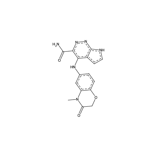 CN1C(=O)COc2ccc(Nc3c(C(N)=O)nnc4[nH]ccc34)cc21